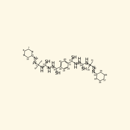 CC(C)(N=NC1CCCCC1)NC(S)NNC(S)c1ccc(C(S)NNC(S)NC(C)(C)N=NC2CCCCC2)cc1